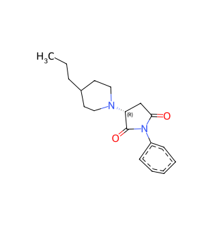 CCCC1CCN([C@@H]2CC(=O)N(c3ccccc3)C2=O)CC1